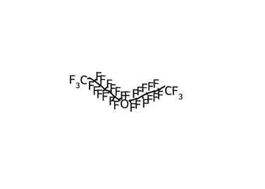 FC(F)(F)CC(F)(F)C(F)(F)C(F)(F)C(F)(F)C(F)(F)C(F)(F)OC(F)(F)C(F)(F)C(F)(F)C(F)(F)C(F)(F)C(F)(F)CC(F)(F)F